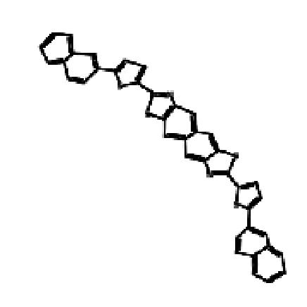 c1ccc2cc(-c3ccc(-c4nc5cc6cc7sc(-c8ccc(-c9ccc%10ccccc%10c9)s8)nc7cc6cc5s4)s3)ccc2c1